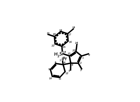 CC1=C(C)C(C)(C2(C(C)C)C=CC=CC2)C([SiH2]c2cc(C)cc(C)c2)=C1C